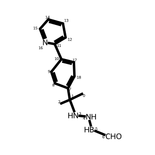 CC(C)(NNBC=O)c1ccc(-c2ccccn2)cc1